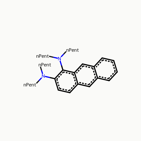 CCCCCN(CCCCC)c1ccc2cc3ccccc3cc2c1N(CCCCC)CCCCC